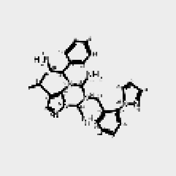 CC(C)c1cnn2c1N(C(CN)c1ccccc1)C(N)N(Cc1ccccc1-n1cccn1)C2N